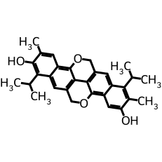 Cc1cc2c3c4c(cc2c(C(C)C)c1O)COc1c-4c(cc2c(C(C)C)c(C)c(O)cc12)CO3